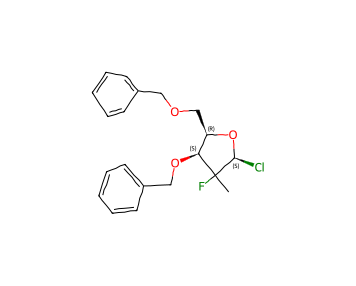 CC1(F)[C@H](Cl)O[C@H](COCc2ccccc2)[C@@H]1OCc1ccccc1